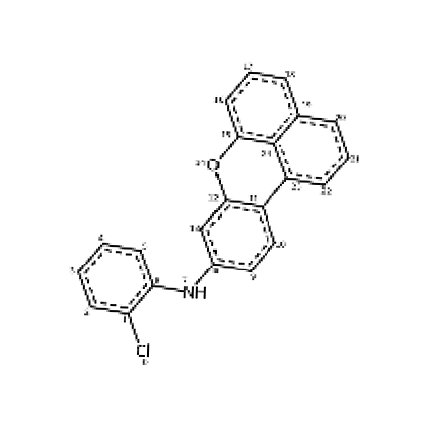 Clc1ccccc1Nc1ccc2c(c1)Oc1cccc3cccc-2c13